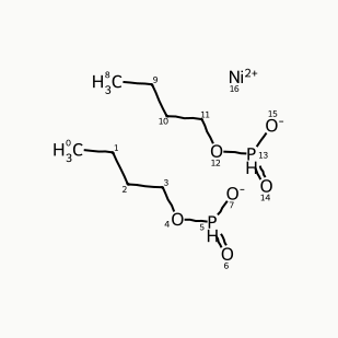 CCCCO[PH](=O)[O-].CCCCO[PH](=O)[O-].[Ni+2]